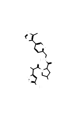 Cc1ncsc1-c1ccc(CNC(=O)C2CC(O)CN2C(=O)C(c2cc(O)no2)C(C)C)nc1